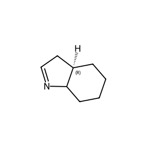 C1=NC2CCCC[C@@H]2C1